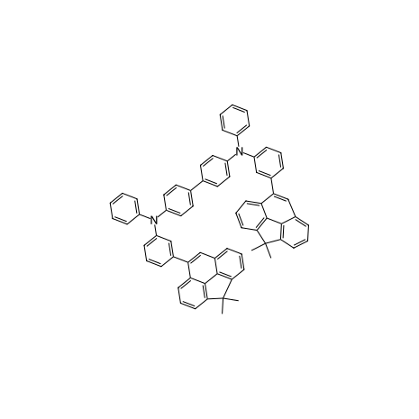 CC1(C)c2cccc3cc(-c4cccc(N(c5ccccc5)c5ccc(-c6ccc(N(c7ccccc7)c7cccc(-c8cc9cccc%10c9c9c(cccc89)C%10(C)C)c7)cc6)cc5)c4)c4cccc1c4c23